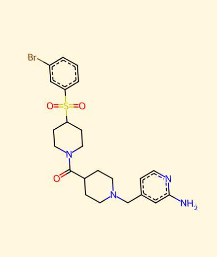 Nc1cc(CN2CCC(C(=O)N3CCC(S(=O)(=O)c4cccc(Br)c4)CC3)CC2)ccn1